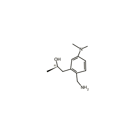 C[C@@H](O)Cc1cc(N(C)C)ccc1CN